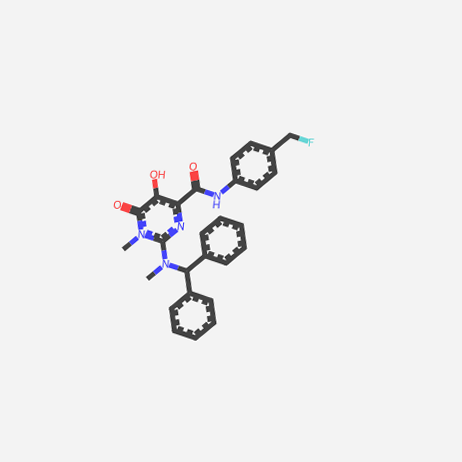 CN(c1nc(C(=O)Nc2ccc(CF)cc2)c(O)c(=O)n1C)C(c1ccccc1)c1ccccc1